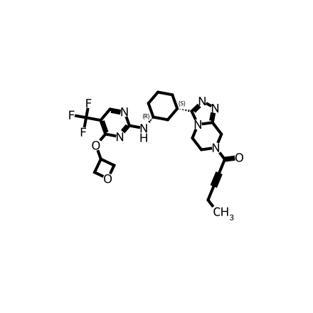 CCC#CC(=O)N1CCn2c(nnc2[C@H]2CCC[C@@H](Nc3ncc(C(F)(F)F)c(OC4COC4)n3)C2)C1